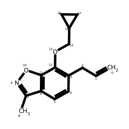 C=CCc1ccc2c(C)noc2c1OCC1CC1